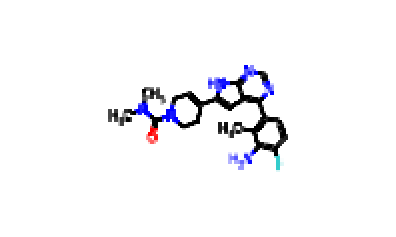 Cc1c(-c2ncnc3[nH]c(C4=CCN(C(=O)N(C)C)CC4)cc23)ccc(F)c1N